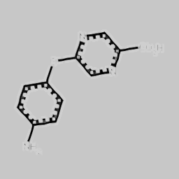 Nc1ccc(Oc2cnc(C(=O)O)cn2)cc1